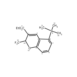 CCOC(=O)C1=Cc2c(cccc2[Si](C)(C)C)OC1C(F)(F)F